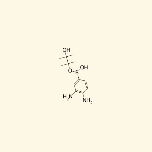 CC(C)(O)C(C)(C)OB(O)c1ccc(N)c(N)c1